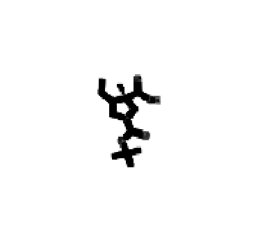 CCC1CN(C(=O)OC(C)(C)C)C[C@]1(C)C(=O)O